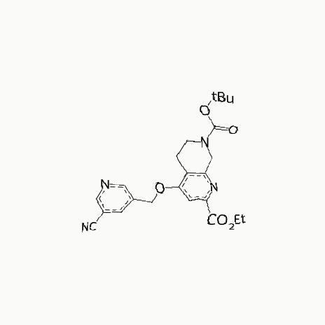 CCOC(=O)c1cc(OCc2cncc(C#N)c2)c2c(n1)CN(C(=O)OC(C)(C)C)CC2